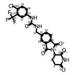 O=C1CCC(N2C(=O)c3ccc(CNC(=O)Nc4ccc(Cl)c(C(F)(F)F)c4)cc3C2=O)C(=O)N1